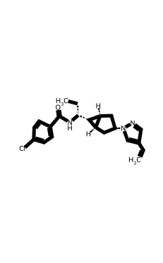 C=Cc1cnn([C@@H]2C[C@@H]3[C@H](C2)[C@H]3[C@@H](CC)NC(=O)c2ccc(Cl)cc2)c1